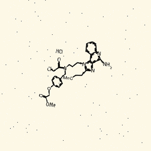 COCCc1nc2c(N)nc3ccccc3c2n1CCCN(Cc1ccc(OCC(=O)OC)cc1)C(=O)CCl.Cl